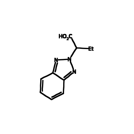 CCC(C(=O)O)n1nc2ccccc2n1